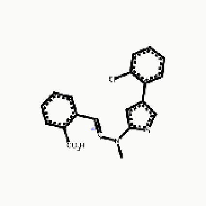 CN(/N=C/c1ccccc1C(=O)O)c1cc(-c2ccccc2Cl)cs1